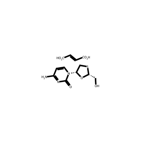 Nc1ccn([C@@H]2CS[C@H](CO)O2)c(=O)n1.O=C(O)/C=C/C(=O)O